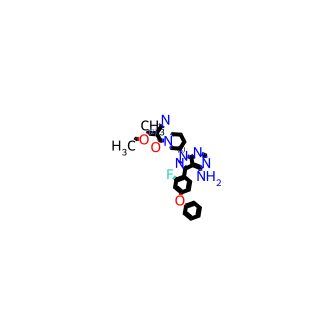 CCO/C(C)=C(/C#N)C(=O)N1CCC[C@@H](n2nc(-c3ccc(Oc4ccccc4)cc3F)c3c(N)ncnc32)C1